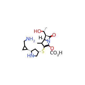 CC1C(S[C@@H]2CN[C@H](C3CC3CN)C2)=C(OC(=O)O)N2C(=O)[C@H]([C@@H](C)O)[C@H]12